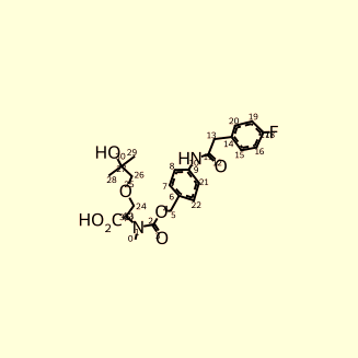 CN(C(=O)OCc1ccc(NC(=O)Cc2ccc(F)cc2)cc1)[C@@H](COCC(C)(C)O)C(=O)O